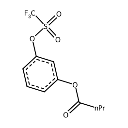 CCCC(=O)Oc1cccc(OS(=O)(=O)C(F)(F)F)c1